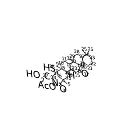 CC(=O)ON(C(=O)C1(C)CC[C@]2(C)CC[C@]3(C)C(=CC(=O)C4[C@@]5(C)CCCC(C)(C)C5CC[C@]43C)[C@@H]2C1)[C@@H](CS)C(=O)O